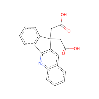 O=C(O)CC1(CC(=O)O)c2ccccc2-c2nc3ccccc3cc21